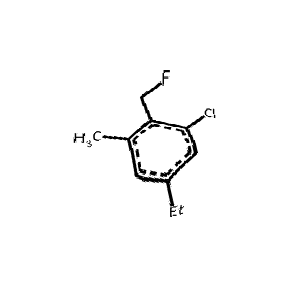 CCc1cc(C)c(CF)c(Cl)c1